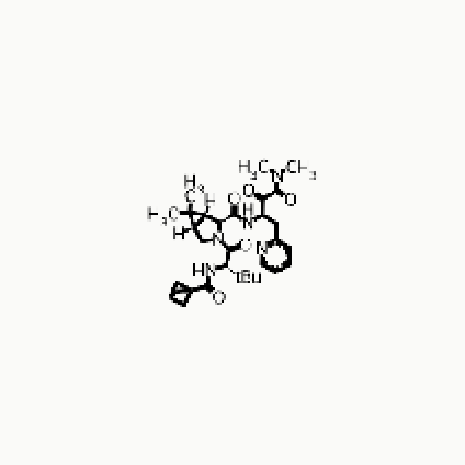 CN(C)C(=O)C(=O)C(Cc1ccccn1)NC(=O)[C@@H]1[C@@H]2[C@H](CN1C(=O)[C@@H](NC(=O)C13CC(C1)C3)C(C)(C)C)C2(C)C